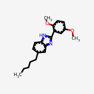 CCCCCc1ccc2[nH]c(-c3cc(OC)ccc3OC)nc2c1